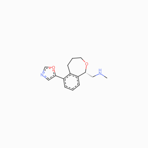 CNC[C@H]1OCCCc2c(-c3cnco3)cccc21